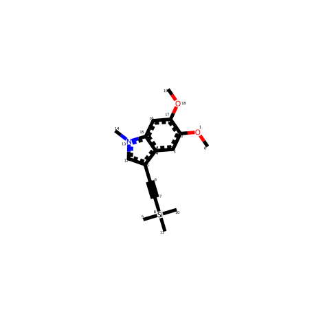 COc1cc2c(C#C[Si](C)(C)C)cn(C)c2cc1OC